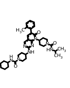 Cc1ccccc1-c1cc2cnc(NC3CCN(C(=O)NC4CCCCC4)CC3)nc2n(C2CCN(C(=O)NC(C)C)CC2)c1=O